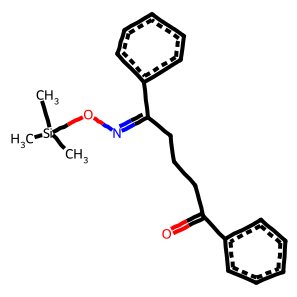 C[Si](C)(C)ON=C(CCCC(=O)c1ccccc1)c1ccccc1